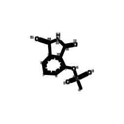 CS(=O)(=O)Oc1cccc2c1C(=O)NC2=O